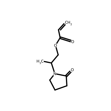 C=CC(=O)OCC(C)N1CCCC1=O